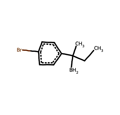 BC(C)(CC)c1ccc(Br)cc1